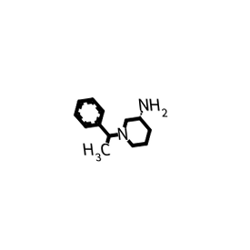 CC(c1ccccc1)N1CCC[C@@H](N)C1